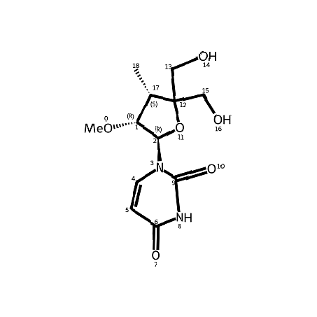 CO[C@H]1[C@H](n2ccc(=O)[nH]c2=O)OC(CO)(CO)[C@H]1C